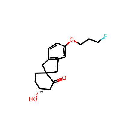 O=C1C[C@H](O)CCC12Cc1ccc(OCCCF)cc1C2